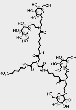 O=C(O)CCCCCNC(=O)CN(CC(=O)NCCCCCC(=O)N(CCOC1O[C@H](CO)[C@@H](O)[C@H](O)[C@@H]1O)CCO[C@H]1O[C@H](CO)[C@@H](O)[C@H](O)[C@@H]1O)CC(=O)NCCCCCC(=O)N(CCOC1O[C@H](CO)[C@@H](O)[C@H](O)[C@@H]1O)CCO[C@H]1O[C@H](CO)[C@@H](O)[C@H](O)[C@@H]1O